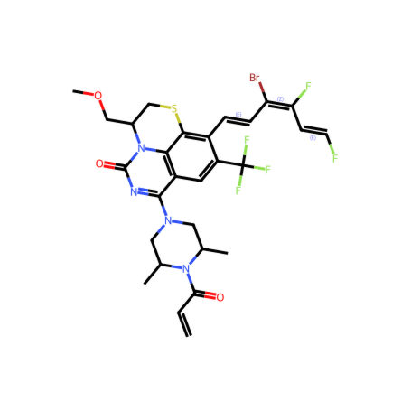 C=CC(=O)N1C(C)CN(c2nc(=O)n3c4c(c(/C=C/C(Br)=C(F)\C=C\F)c(C(F)(F)F)cc24)SCC3COC)CC1C